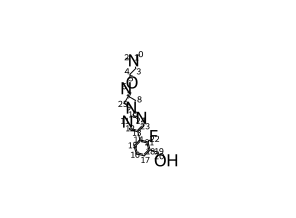 CN(C)CCON=C1CN(c2ncc(-c3cccc(CO)c3F)cn2)C1